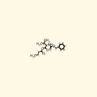 CCCC(=O)OC(=O)[C@@H](NC(=O)OCc1ccccc1)C(C)C